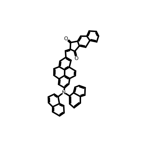 O=C1C(=Cc2cc3ccc4cc(N(c5cccc6ccccc56)c5cccc6ccccc56)cc5ccc(c2)c3c45)C(=O)c2cc3ccccc3cc21